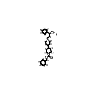 CC(CCN1CCC(C2CCN(C(=O)OCc3ccccc3)CC2)CC1)c1ccccc1